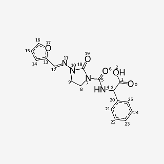 O=C(O)C(NC(=O)N1CCN(/N=C/c2ccco2)C1=O)c1ccccc1